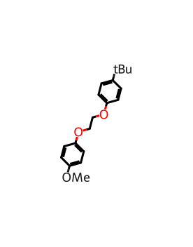 COc1ccc(OCCOc2ccc(C(C)(C)C)cc2)cc1